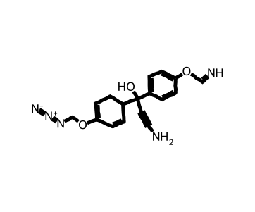 [N-]=[N+]=NCOC1=CCC(C(O)(C#CN)c2ccc(OC=N)cc2)C=C1